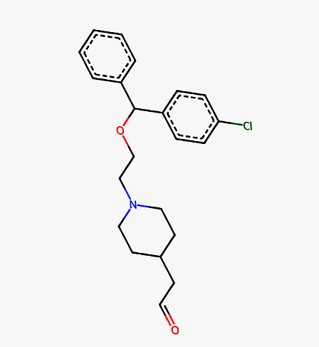 O=CCC1CCN(CCOC(c2ccccc2)c2ccc(Cl)cc2)CC1